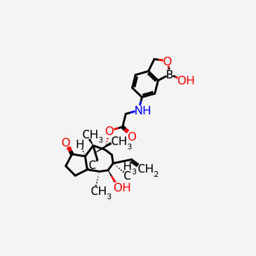 C=C[C@]1(C)C[C@@H](OC(=O)CNc2ccc3c(c2)B(O)OC3)[C@]2(C)[C@H](C)CC[C@]3(CCC(=O)[C@H]32)[C@@H](C)[C@@H]1O